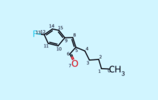 CCCCCC(C=O)=Cc1ccc(F)cc1